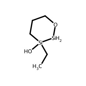 CC[Si]1(O)CCCO[SiH2]1